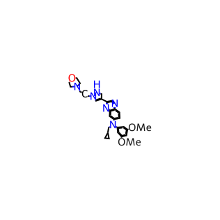 COc1cc(OC)cc(N(CC2CC2)c2ccc3ncc(C4=CN(CCCN5CCOCC5)NC4)nc3c2)c1